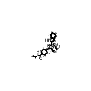 CCNC(=O)C1CCC(C2=C3C=NC=C[N+]3(N)C(c3cc4ccccc4[nH]3)=N2)CC1